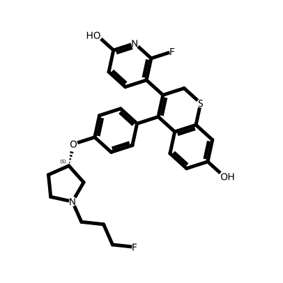 Oc1ccc2c(c1)SCC(c1ccc(O)nc1F)=C2c1ccc(O[C@H]2CCN(CCCF)C2)cc1